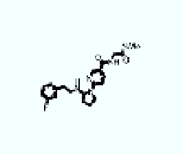 CNC(=O)CNC(=O)c1ccc(N2CCCC2NCCc2cccc(F)c2)nc1